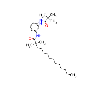 CCCCCCCCCCCCC(C)(C)C(=O)Nc1cccc(NC(=O)C(C)(C)C)c1